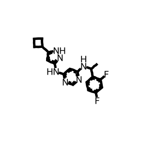 CC(Nc1cc(Nc2cc(C3CCC3)[nH]n2)ncn1)c1ccc(F)cc1F